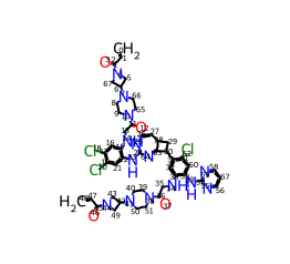 C=CC(=O)N1CC(N2CCN(C(=O)CNc3cc(Cl)c(Cl)cc3NC3=NC=CC4CC(c5cc(NCC(=O)N6CCN(C7CN(C(=O)C=C)C7)CC6)c(Nc6ncccn6)cc5Cl)C4=N3)CC2)C1